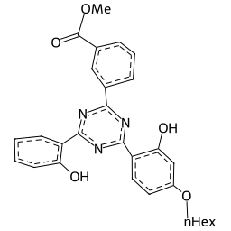 CCCCCCOc1ccc(-c2nc(-c3cccc(C(=O)OC)c3)nc(-c3ccccc3O)n2)c(O)c1